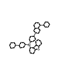 c1ccc(-c2ccc(N(c3ccc(-c4ccc5c(-c6ccccc6)cccc5c4)cc3)c3cccc4sc5ccccc5c34)cc2)cc1